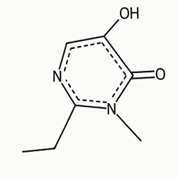 CCc1ncc(O)c(=O)n1C